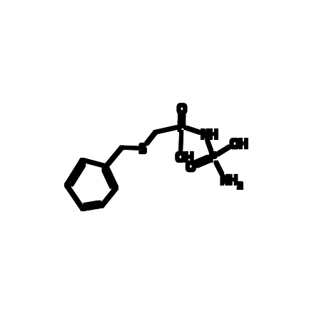 NP(=O)(O)NP(=O)(O)CSCc1ccccc1